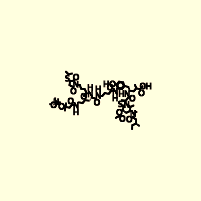 CC[C@H](C)CC(=O)N(C)C(C[C@@H](OC(C)=O)c1nc(C(=O)N[C@@H](Cc2ccc(O)c(NC(=O)CCCNC(=O)[C@H](CCCCNC(=O)CC(C)(C)OCN(C)OC)NC(=O)CCCN3C(=O)CC(SC(C)C)C3=O)c2)CC(C)C(=O)O)cs1)C(C)C